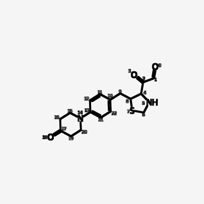 O=CC(=O)C1NCSC1Cc1ccc(N2CCC(=O)CC2)cc1